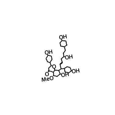 COC1CC(O)C(C(/C=C/CC(O)CCC2CCC(O)CC2)C2CCC(O)CC2)C2OC(C3CCC(O)CC3)CC(=O)C12